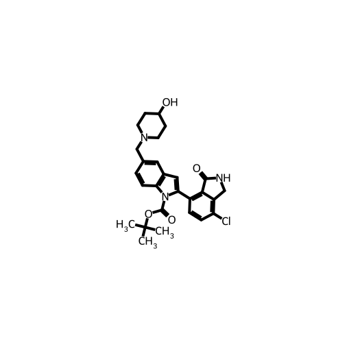 CC(C)(C)OC(=O)n1c(-c2ccc(Cl)c3c2C(=O)NC3)cc2cc(CN3CCC(O)CC3)ccc21